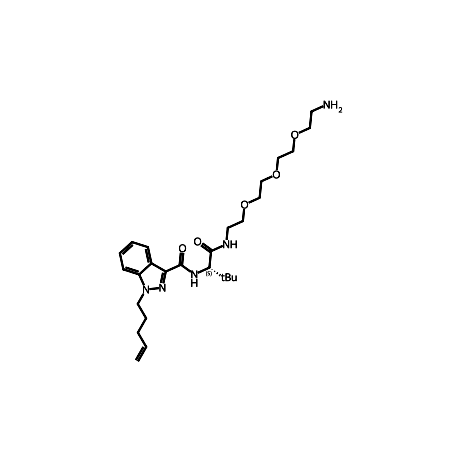 C=CCCCn1nc(C(=O)N[C@H](C(=O)NCCOCCOCCOCCN)C(C)(C)C)c2ccccc21